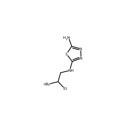 CCCCC(CC)CNc1nnc(N)s1